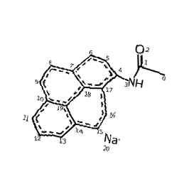 CC(=O)Nc1ccc2ccc3cccc4ccc1c2c34.[Na]